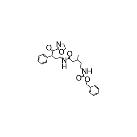 CC(CCNC(=O)OCc1ccccc1)CC(=O)NCCC(C(=O)C1=NCCO1)c1ccccc1